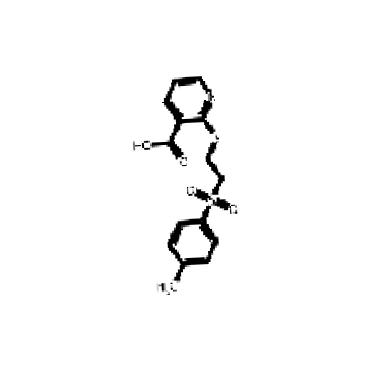 Cc1ccc(S(=O)(=O)CCSc2ncccc2C(=O)O)cc1